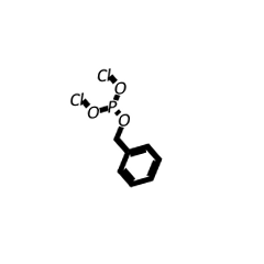 ClOP(OCl)OCc1ccccc1